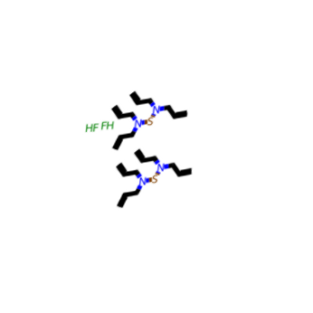 C=CCN(CC=C)SN(CC=C)CC=C.C=CCN(CC=C)SN(CC=C)CC=C.F.F